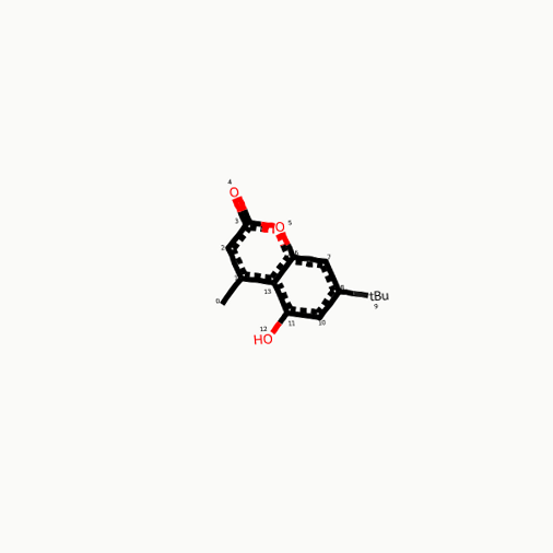 Cc1cc(=O)oc2cc(C(C)(C)C)cc(O)c12